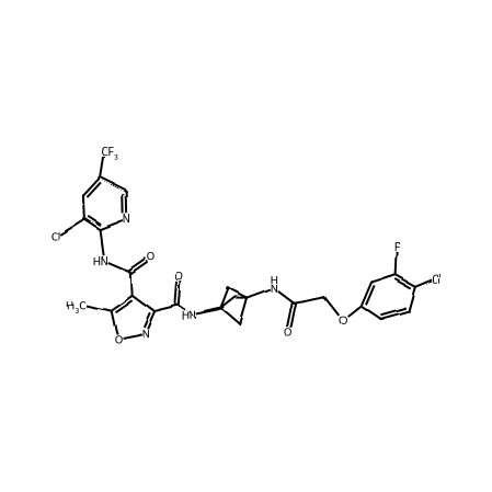 Cc1onc(C(=O)NC23CC(NC(=O)COc4ccc(Cl)c(F)c4)(C2)C3)c1C(=O)Nc1ncc(C(F)(F)F)cc1Cl